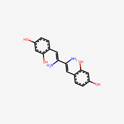 NC(=Cc1ccc(O)cc1O)C(N)=Cc1ccc(O)cc1O